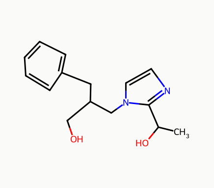 CC(O)c1nccn1CC(CO)Cc1ccccc1